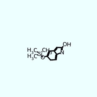 C[Si](C)(C)OC1=CC2=CC(O)=NC2=CC1